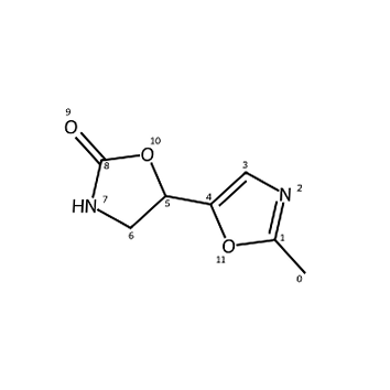 Cc1ncc(C2CNC(=O)O2)o1